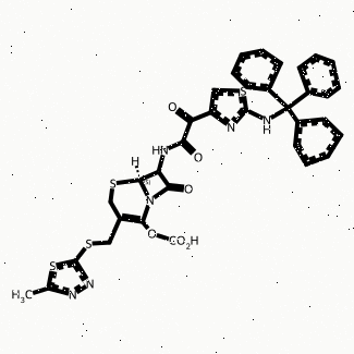 Cc1nnc(SCC2=C(OC(=O)O)N3C(=O)C(NC(=O)C(=O)c4csc(NC(c5ccccc5)(c5ccccc5)c5ccccc5)n4)[C@@H]3SC2)s1